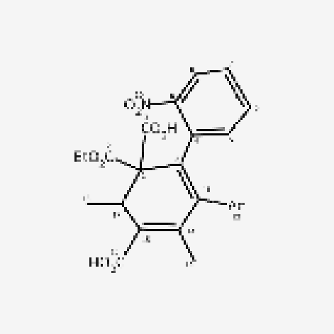 CCOC(=O)C1(C(=O)O)C(c2ccccc2[N+](=O)[O-])=C(C(C)=O)C(C)=C(C(=O)O)C1C